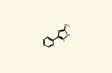 Pc1cc(-c2ccccc2)n[nH]1